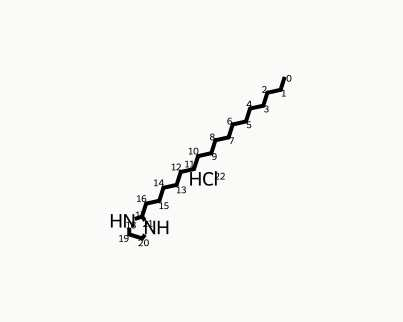 CCCCCCCCCCCCCCCCCC1NCCN1.Cl